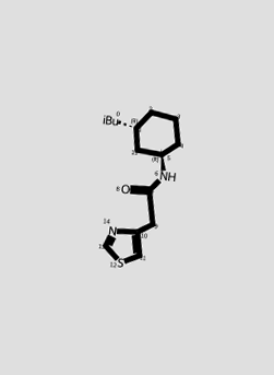 CCC(C)[C@@H]1CCC[C@@H](NC(=O)Cc2cscn2)C1